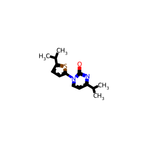 CC(C)c1ccn(-c2ccc(C(C)C)s2)c(=O)n1